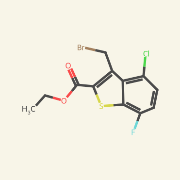 CCOC(=O)c1sc2c(F)ccc(Cl)c2c1CBr